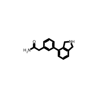 NC(=O)Cc1cccc(-c2cccc3c2CNC3)c1